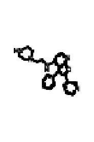 c1ccc(-c2c(-c3cccnc3)oc3nccc(NCCN4CCNCC4)c23)cc1